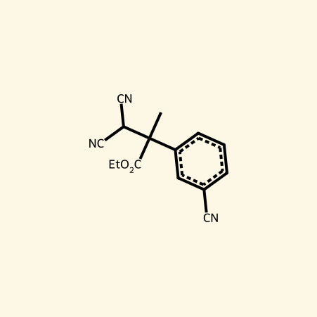 CCOC(=O)C(C)(c1cccc(C#N)c1)C(C#N)C#N